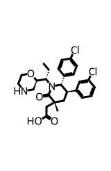 CC[C@@H]([C@H]1CNCCO1)N1C(=O)[C@@](C)(CC(=O)O)C[C@H](c2cccc(Cl)c2)[C@H]1c1ccc(Cl)cc1